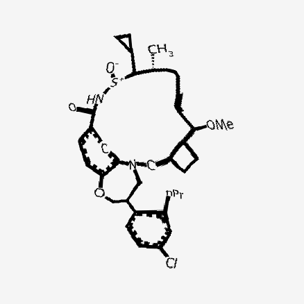 CCCc1cc(Cl)ccc1C1COc2ccc3cc2N(C1)CC1CCC1C(OC)/C=C/C[C@@H](C)C(C1CC1)[S+]([O-])NC3=O